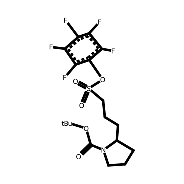 CC(C)(C)OC(=O)N1CCCC1CCCS(=O)(=O)Oc1c(F)c(F)c(F)c(F)c1F